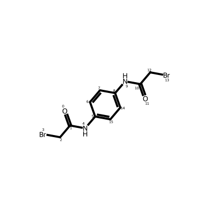 O=C(CBr)Nc1ccc(NC(=O)CBr)cc1